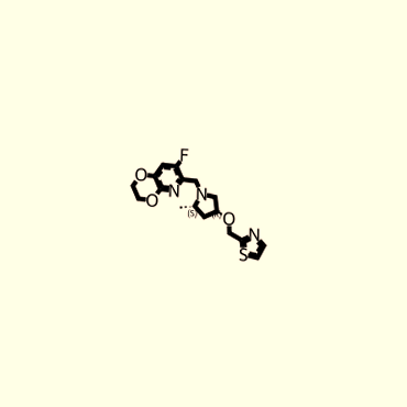 C[C@H]1C[C@@H](OCc2nccs2)CN1Cc1nc2c(cc1F)OCCO2